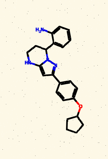 Nc1ccccc1C1CCNc2cc(-c3ccc(OC4CCCC4)cc3)nn21